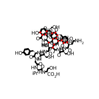 CC(C)[C@H](NC(=O)CNC(=O)[C@H](Cc1ccc(O)cc1)NC(=O)[C@H](CS)NC(=O)[C@H](CCCCN)NC(=O)[C@H](Cc1ccccc1)NC(=O)[C@@H](NC(=O)[C@H](CO)NC(=O)[C@H](Cc1ccccc1)NC(=O)[C@H](CO)NC(=O)[C@H](C)NC(=O)[C@H](CO)NC(=O)[C@H](CC(N)=O)NC(=O)[C@@H](N)Cc1ccc(O)cc1)[C@@H](C)O)C(=O)N[C@@H](CO)C(=O)O